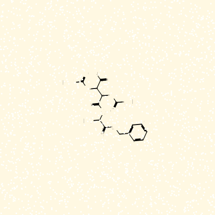 CC(=O)OC(C(=O)O)C(OC(C)=O)C(=O)OC(C)C(=O)OCc1ccccc1